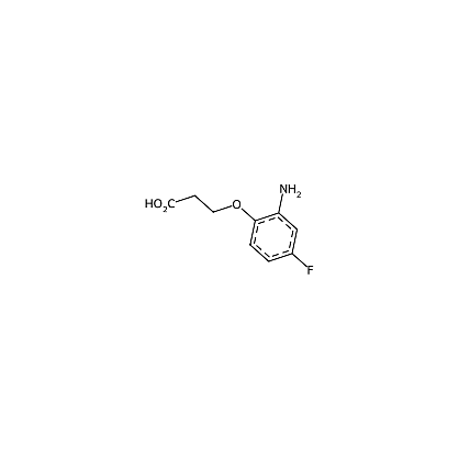 Nc1cc(F)ccc1OCCC(=O)O